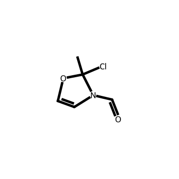 CC1(Cl)OC=CN1C=O